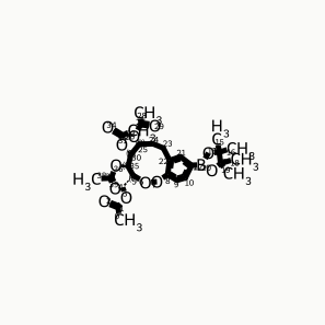 CC(=O)OC[C@H]1OOc2ccc(B3OC(C)(C)C(C)(C)O3)cc2CC[C@@H](OC(C)=O)[C@@H](OC(C)=O)[C@@H]1OC(C)=O